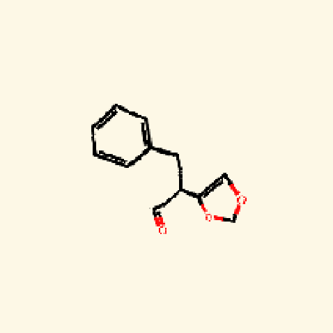 O=[C]C(Cc1ccccc1)C1=COCO1